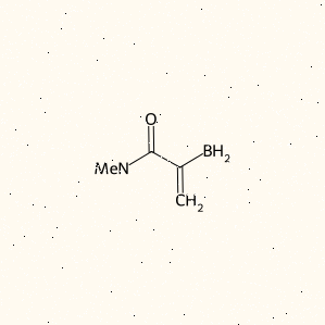 BC(=C)C(=O)NC